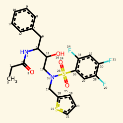 CCC(=O)NC(Cc1ccccc1)C(O)CN(Cc1cccs1)S(=O)(=O)c1cc(F)c(F)cc1F